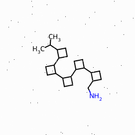 CC(C)C1CCC1C1CCC1C1CCC1C1CCC1C1CCC1CN